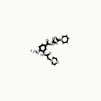 O=C(CN1CCOCC1)Nc1cc(C(=O)Nc2nnc(N3CCCCC3)s2)ccc1OC(F)(F)F